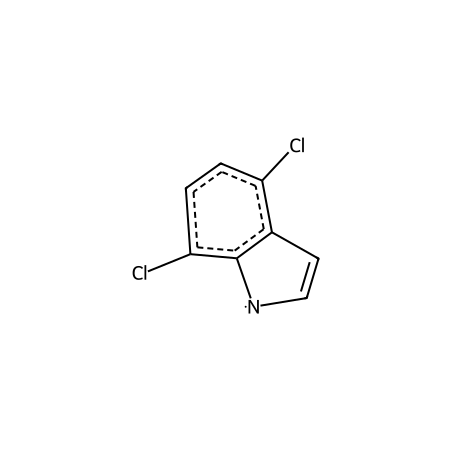 Clc1ccc(Cl)c2c1C=C[N]2